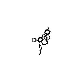 CCCCN=C1CCCN(S(=O)(=O)c2ccc(C)cc2)c2ccc(Cl)cc21